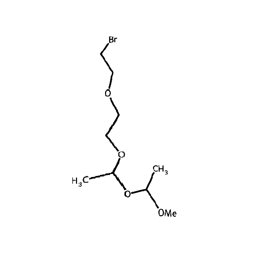 COC(C)OC(C)OCCOCCBr